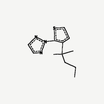 CCCC(C)(C)c1ccsc1-n1nccn1